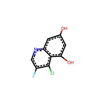 Oc1cc(O)c2c(Cl)c(F)cnc2c1